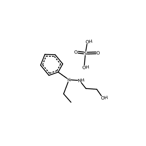 CCN(NCCO)c1ccccc1.O=S(=O)(O)O